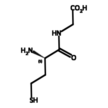 N[C@@H](CCS)C(=O)NCC(=O)O